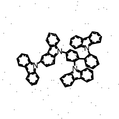 c1ccc(-n2c3ccccc3c3ccccc32)c(-c2ccc(-n3c4ccccc4c4cc(-n5c6ccccc6c6ccccc65)ccc43)cc2-n2c3ccccc3c3ccccc32)c1